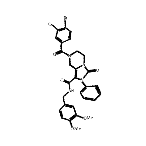 COc1ccc(CNC(=O)c2c3n(c(=O)n2-c2ccccc2)CCN(C(=O)c2ccc(Br)c(Cl)c2)C3)cc1OC